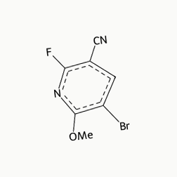 COc1nc(F)c(C#N)cc1Br